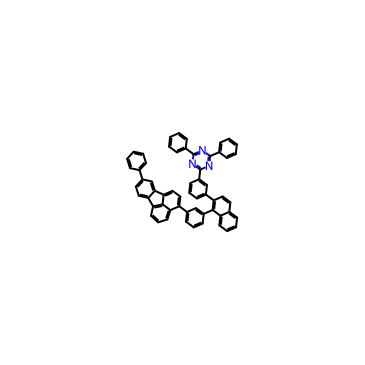 c1ccc(-c2ccc3c(c2)-c2ccc(-c4cccc(-c5c(-c6cccc(-c7nc(-c8ccccc8)nc(-c8ccccc8)n7)c6)ccc6ccccc56)c4)c4cccc-3c24)cc1